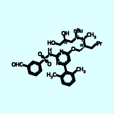 CCCCN(C[C@H](O)CO)N(C)[C@@H](COc1cc(-c2c(C)cccc2C)nc(NS(=O)(=O)c2cccc(C=O)c2)n1)CC(C)C